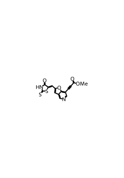 COC(=O)C#Cc1cncc2cc(/C=C3\SC(=S)NC3=O)oc12